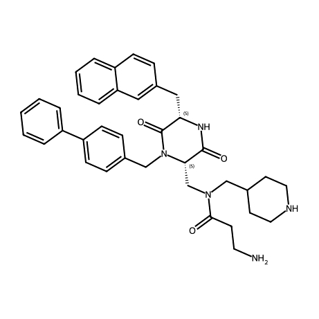 NCCC(=O)N(CC1CCNCC1)C[C@H]1C(=O)N[C@@H](Cc2ccc3ccccc3c2)C(=O)N1Cc1ccc(-c2ccccc2)cc1